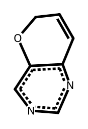 C1=Cc2ncncc2OC1